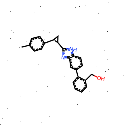 Cc1ccc(C2CC2c2nc3cc(-c4ccccc4CO)ccc3[nH]2)cc1